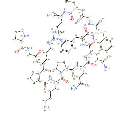 CSCC[C@H](NC(=O)[C@H](CC(C)C)NC(=O)CNC(=O)[C@H](Cc1ccccc1)NC(=O)[C@H](Cc1ccccc1)NC(=O)[C@H](CCC(N)=O)NC(=O)[C@H](CCC(N)=O)NC(=O)[C@@H]1CCCN1C(=O)[C@H](CCCCN)NC(=O)[C@@H]1CCCN1C(=O)[C@H](CCCNC(=N)N)NC(=O)CNC(=O)[C@@H]1CCCN1)C(=O)O